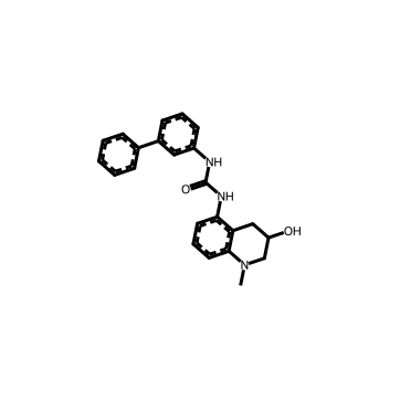 CN1CC(O)Cc2c(NC(=O)Nc3cccc(-c4ccccc4)c3)cccc21